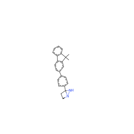 CC1(C)c2ccccc2-c2ccc(-c3ccc(C45CC[N@]4N5)cc3)cc21